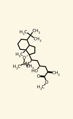 C=C(C[C@@H](O)C[C@@H](C)[C@]1(O[SiH](C)C)CCC2C(C(C)(C)C)CCC[C@]21C)C(=O)OC